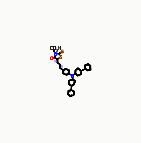 O=C(O)CN1C(=O)/C(=C/C=C/c2ccc(N(c3ccc(-c4ccccc4)cc3)c3ccc(-c4ccccc4)cc3)cc2)SC1=S